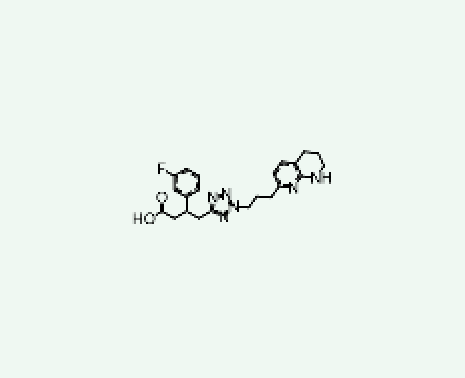 O=C(O)CC(Cc1nnn(CCCc2ccc3c(n2)NCCC3)n1)c1cccc(F)c1